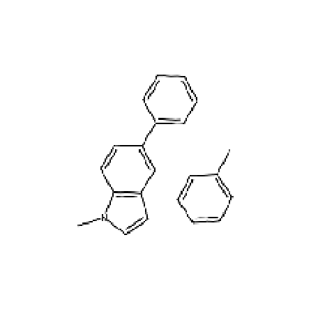 Cc1ccccc1.Cn1ccc2cc(-c3ccccc3)ccc21